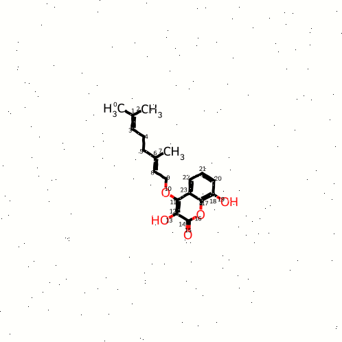 CC(C)=CCC/C(C)=C/COc1c(O)c(=O)oc2c(O)cccc12